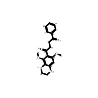 COc1cc2c(c(OC)c1C(=O)CCC(=O)c1ccccc1)OCCO2